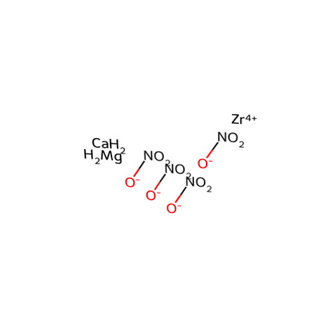 O=[N+]([O-])[O-].O=[N+]([O-])[O-].O=[N+]([O-])[O-].O=[N+]([O-])[O-].[CaH2].[MgH2].[Zr+4]